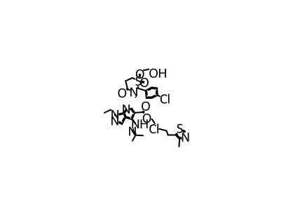 CCO.CCOC(=O)c1cnc2c(cnn2CC)c1NN=C(C)C.CN1C(=O)CCS(=O)(=O)C1c1ccc(Cl)cc1.Cc1ncsc1CCCl